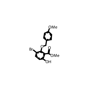 COC(=O)c1c(O)ccc(Br)c1OCc1ccc(OC)cc1